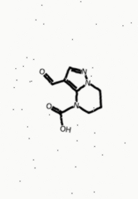 O=Cc1cnn2c1N(C(=O)O)CCC2